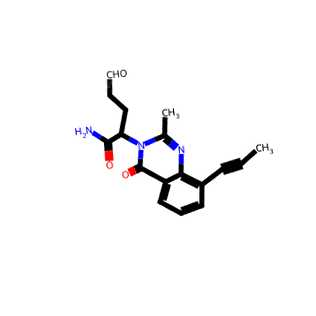 CC#Cc1cccc2c(=O)n(C(CCC=O)C(N)=O)c(C)nc12